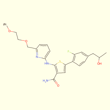 CC(O)Cc1ccc(-c2cc(C(N)=O)c(Nc3cccc(COCCOC(C)C)n3)s2)c(F)c1